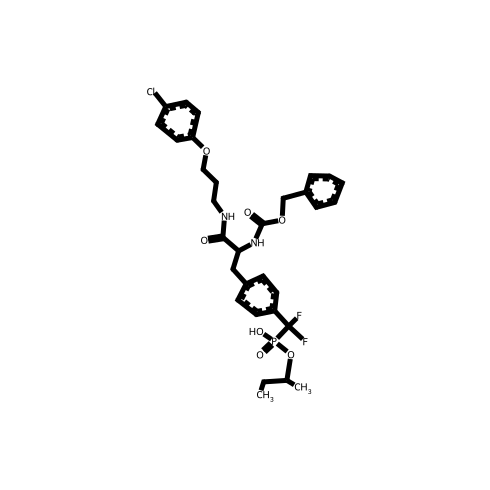 CCC(C)OP(=O)(O)C(F)(F)c1ccc(CC(NC(=O)OCc2ccccc2)C(=O)NCCCOc2ccc(Cl)cc2)cc1